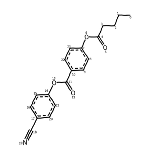 CCCCC(=O)Oc1ccc(C(=O)Oc2ccc(C#N)cc2)cc1